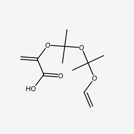 C=COC(C)(C)OC(C)(C)OC(=C)C(=O)O